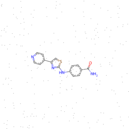 NC(=O)c1ccc(Nc2nc(-c3ccncc3)cs2)cc1